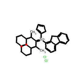 CC([C](C(C)C1CCCCC1)=[Zr+2]([C]1=CC=CC1)[c]1cccc2c1Cc1ccccc1-2)C1CCCCC1.[Cl-].[Cl-]